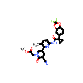 COC(=O)Cn1cc(-c2nc(NC(=O)C3(c4ccc5c(c4)OC(F)(F)O5)CC3)ccc2C)cc(C#N)c1=O